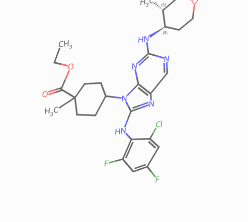 CCOC(=O)C1(C)CCC(n2c(Nc3c(F)cc(F)cc3Cl)nc3cnc(N[C@@H]4CCOC[C@H]4C)nc32)CC1